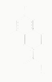 CCc1cc(C)cc2c1CN(C(=O)OC(C)(C)C)CC2